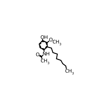 CCCCCCCCc1c(NC(C)=O)ccc(O)c1OC